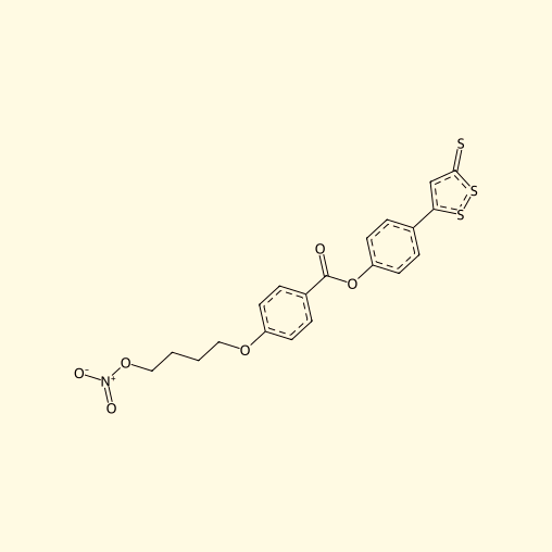 O=C(Oc1ccc(-c2cc(=S)ss2)cc1)c1ccc(OCCCCO[N+](=O)[O-])cc1